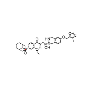 CCOc1cc(C(=O)C2C3CCCC2COC3)ccc1C(=O)NC[C@@H](O)[C@@H]1Cc2ccc(OCc3ocnc3C)cc2CN1